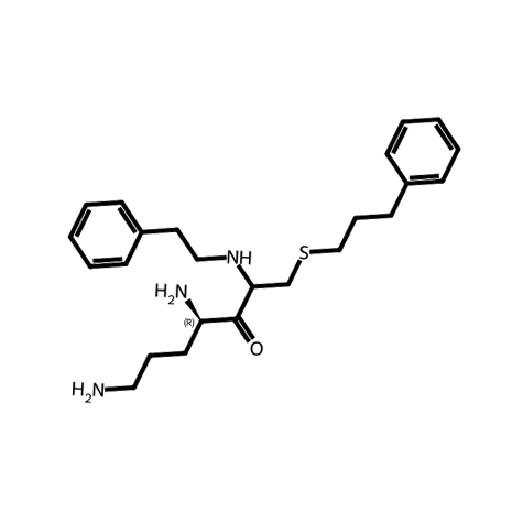 NCCC[C@@H](N)C(=O)C(CSCCCc1ccccc1)NCCc1ccccc1